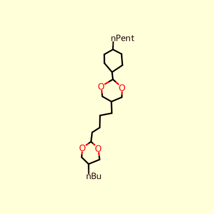 CCCCCC1CCC(C2OCC(CCCCC3OCC(CCCC)CO3)CO2)CC1